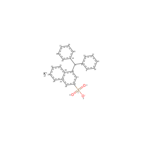 O=S(=O)([O-])c1cc(C(c2ccccc2)c2ccccc2)c2ccccc2c1.[K+]